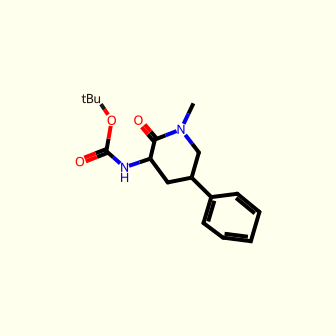 CN1CC(c2ccccc2)CC(NC(=O)OC(C)(C)C)C1=O